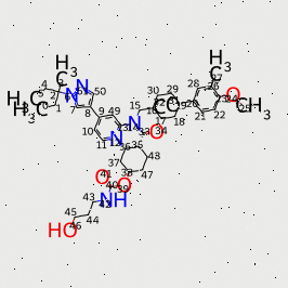 CCC(C)(CC)n1cc(-c2ccnc(N(CC34CCC(c5ccc(OC)c(C)c5)(CC3)CC4)C(=O)[C@H]3CC[C@H](OC(=O)NCCCO)CC3)c2)cn1